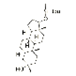 CC(C)(C)[Si](C)(C)OC1CC[C@@H]2[C@H]3CC[C@@H]4C[C@@](C)(O)CC[C@@]4(C)[C@@H]3CC[C@@]12C